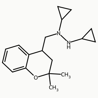 CC1(C)CC(CN(NC2CC2)C2CC2)c2ccccc2O1